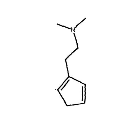 CN(C)CCC1=[C]CC=C1